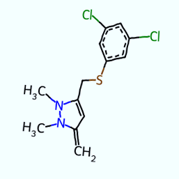 C=C1C=C(CSc2cc(Cl)cc(Cl)c2)N(C)N1C